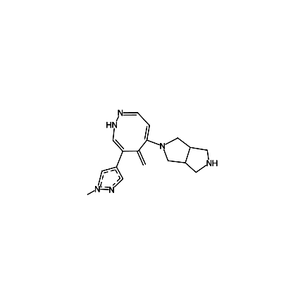 C=C1/C(c2cnn(C)c2)=C\N/N=C\C=C/1N1CC2CNCC2C1